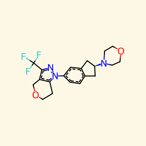 FC(F)(F)c1nn(-c2ccc3c(c2)C[C@@H](N2CCOCC2)C3)c2c1COCC2